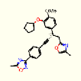 COc1ccc([C@@H](C#Cc2ccc(-c3noc(C)n3)cc2)Cc2nc(C)co2)cc1OC1CCCC1